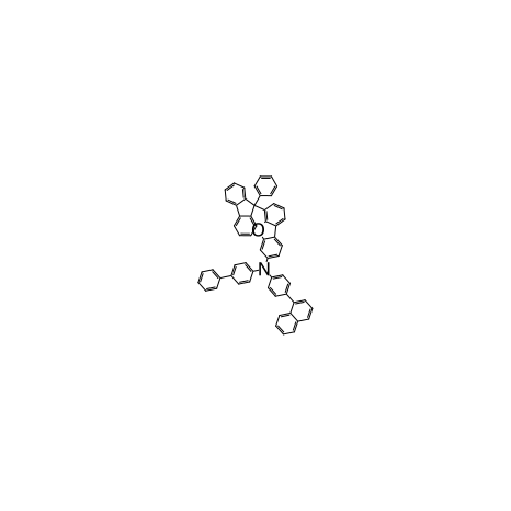 c1ccc(-c2ccc(N(c3ccc(-c4cccc5ccccc45)cc3)c3ccc4c(c3)oc3c(C5(c6ccccc6)c6ccccc6-c6ccccc65)cccc34)cc2)cc1